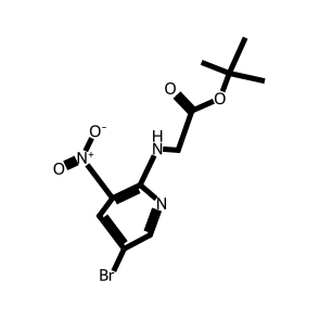 CC(C)(C)OC(=O)CNc1ncc(Br)cc1[N+](=O)[O-]